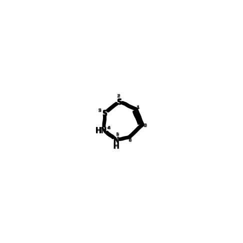 C1=CSSNNC1